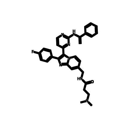 C=C(Nc1nccc(-c2c(-c3ccc(F)cc3)nc3cc(CNC(=O)CCN(C)C)ccn23)n1)c1ccccc1